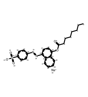 CCCCCCCC(=O)Oc1ccc(N=Nc2ccc(S(=O)(=O)[O-])cc2)c2ccccc12.[Na+]